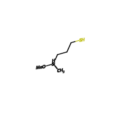 CO[SiH](C)CCCS